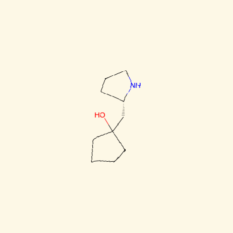 OC1(C[C@@H]2CCCN2)CCCC1